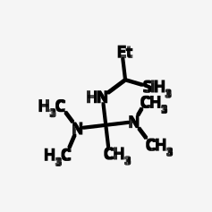 CCC([SiH3])NC(C)(N(C)C)N(C)C